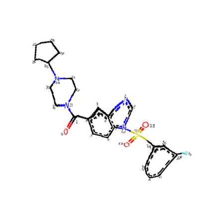 O=C(c1ccc2c(c1)ncn2S(=O)(=O)c1cccc(F)c1)N1CCN(C2CCCC2)CC1